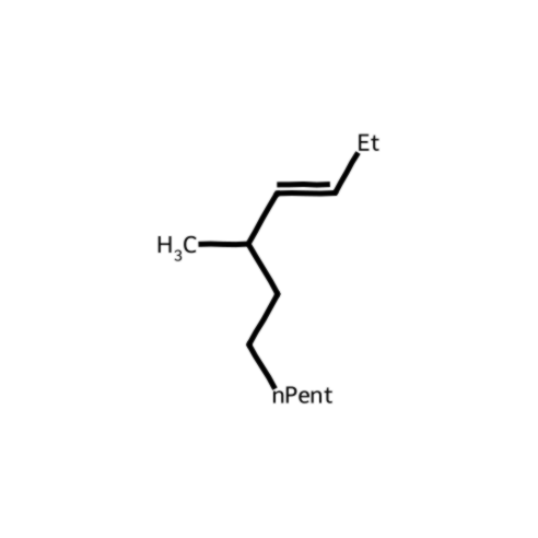 [CH2]CC=CC(C)CCCCCC[CH2]